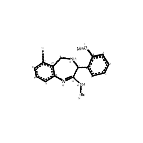 COc1ccccc1C1NCc2c(F)cccc2N=C1NC(C)(C)C